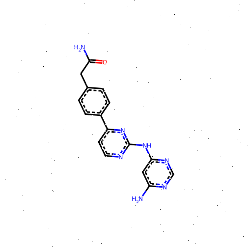 NC(=O)Cc1ccc(-c2ccnc(Nc3cc(N)ncn3)n2)cc1